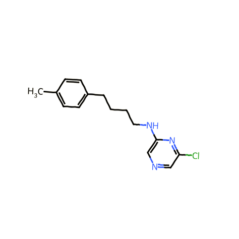 Cc1ccc(CCCCNc2cncc(Cl)n2)cc1